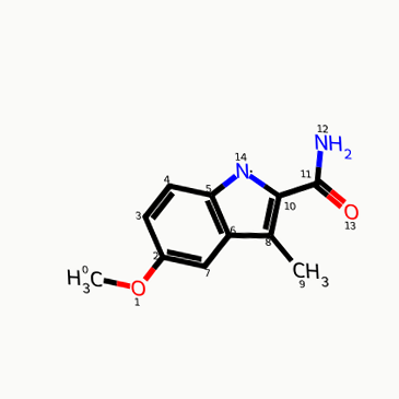 COc1ccc2c(c1)C(C)=C(C(N)=O)[N]2